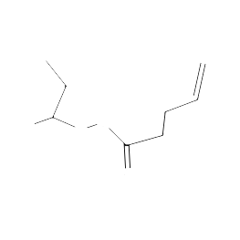 C=CCCC(=O)OOC(C)CC